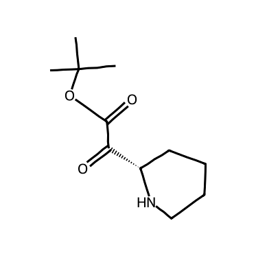 CC(C)(C)OC(=O)C(=O)[C@@H]1CCCCN1